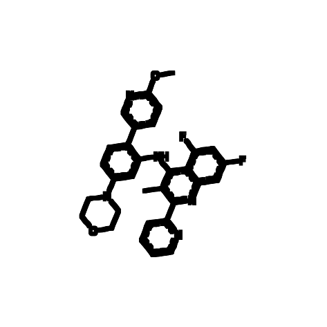 COc1ccc(-c2ccc(N3CCOCC3)cc2Nc2c(C)c(-c3ccccn3)nc3cc(F)cc(F)c23)cn1